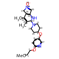 COCCOc1ccc(OC2CCN(C3NC4=C(C[N+]([O-])=C4)C(C)=C3C)CC2)cn1